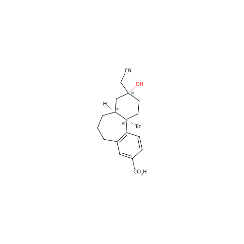 CC[C@@]12CC[C@](O)(CC#N)C[C@@H]1CCCc1cc(C(=O)O)ccc12